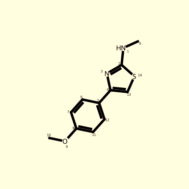 CNc1nc(-c2ccc(OC)cc2)cs1